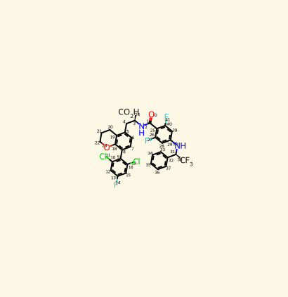 O=C(N[C@@H](Cc1ccc(-c2c(Cl)cc(F)cc2Cl)c2c1CCCO2)C(=O)O)c1c(F)cc(N[C@H](c2ccccc2)C(F)(F)F)cc1F